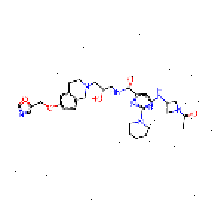 CC(=O)N1CC(Nc2cc(C(=O)NC[C@H](O)CN3CCc4cc(OCc5cnco5)ccc4C3)nc(N3CCCCC3)n2)C1